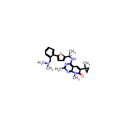 Cc1nc(N[C@H](C)c2ccc(-c3ccccc3CN(C)C)s2)c2cc(C3(C)CC3)c(=O)n(C)c2n1